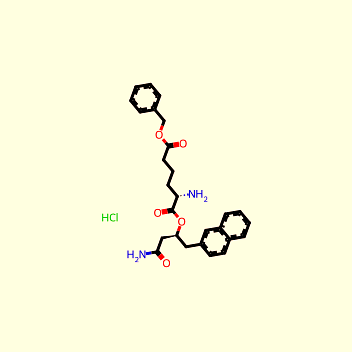 Cl.NC(=O)C[C@H](Cc1ccc2ccccc2c1)OC(=O)[C@@H](N)CCCC(=O)OCc1ccccc1